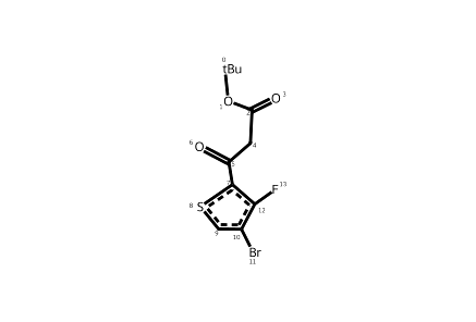 CC(C)(C)OC(=O)CC(=O)c1scc(Br)c1F